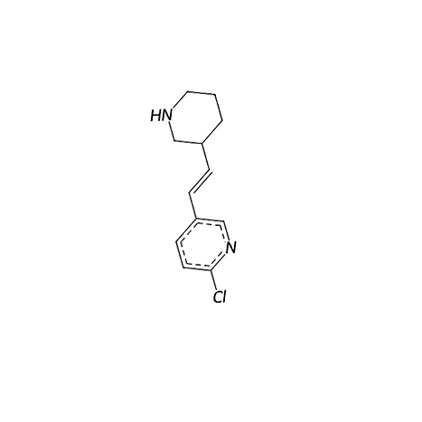 Clc1ccc(C=CC2CCCNC2)cn1